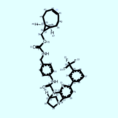 O=C(NCc1ccc(NC(=O)N2c3nc(-c4cccc(C(F)(F)F)c4)ccc3N3CC[C@H]2C3)cc1)OC[C@@H]1[C@@H]2CC/C=C\CC[C@@H]21